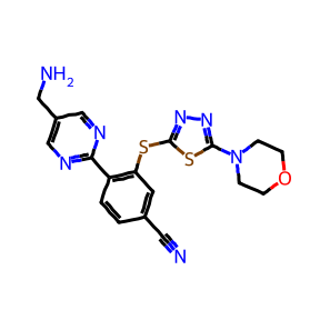 N#Cc1ccc(-c2ncc(CN)cn2)c(Sc2nnc(N3CCOCC3)s2)c1